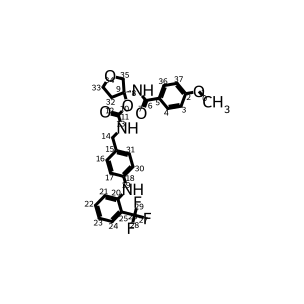 COc1ccc(C(=O)N[C@]2(OC(=O)NCc3ccc(Nc4ccccc4C(F)(F)F)cc3)CCOC2)cc1